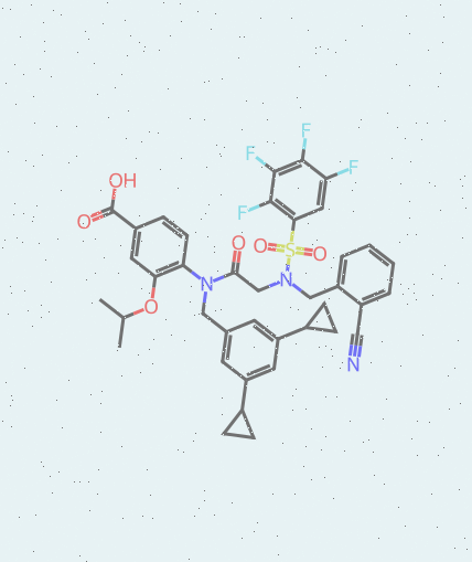 CC(C)Oc1cc(C(=O)O)ccc1N(Cc1cc(C2CC2)cc(C2CC2)c1)C(=O)CN(Cc1ccccc1C#N)S(=O)(=O)c1cc(F)c(F)c(F)c1F